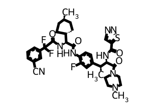 C[C@@H](c1ccc(NC(=O)[C@@H](NC(=O)C(F)(F)c2cccc(C#N)c2)[C@H]2CC[C@H](C)CC2)c(F)c1)[C@@H](NC(=O)c1cnns1)C(=O)N1CCN(C)CC1